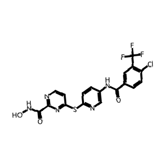 O=C(Nc1ccc(Sc2ccnc(C(=O)NO)n2)nc1)c1ccc(Cl)c(C(F)(F)F)c1